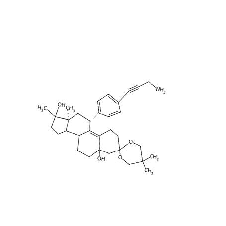 CC1(C)COC2(CCC3=C4C(CCC3(O)C2)C2CCC(C)(O)[C@@]2(C)C[C@@H]4c2ccc(C#CCN)cc2)OC1